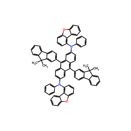 CC1(C)c2ccccc2-c2ccc(-c3c4ccc(N(c5ccccc5)c5cccc6oc7ccccc7c56)cc4c(-c4ccc5c(c4)C(C)(C)c4ccccc4-5)c4ccc(N(c5ccccc5)c5cccc6oc7ccccc7c56)cc34)cc21